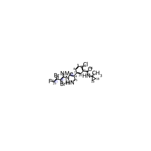 CN/C(N/C=C(\C=N)c1ccc(Cl)c(C(=O)NC2(C)CC2)c1)=C(Br)\C(Br)=C\F